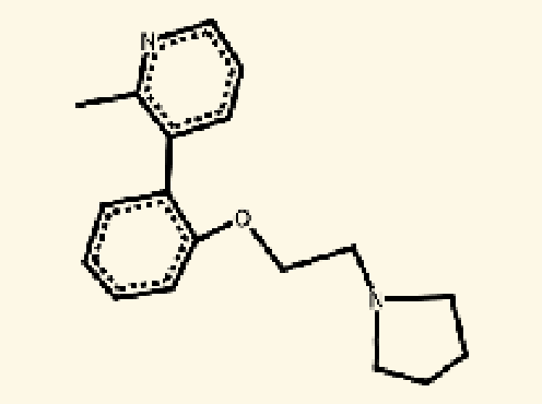 Cc1ncccc1-c1ccccc1OCCN1CCCC1